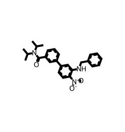 CC(C)N(C(=O)c1cccc(-c2ccc([N+](=O)[O-])c(NCc3ccccc3)c2)c1)C(C)C